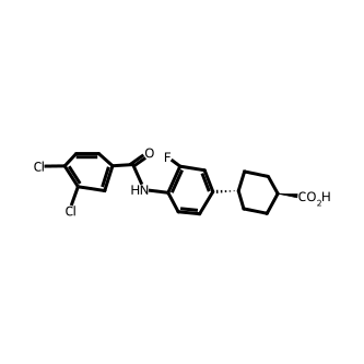 O=C(Nc1ccc([C@H]2CC[C@H](C(=O)O)CC2)cc1F)c1ccc(Cl)c(Cl)c1